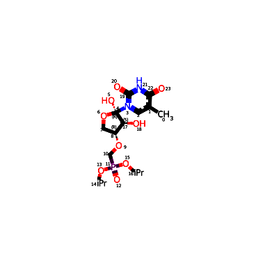 Cc1cn([C@]2(O)OC[C@@H](OCP(=O)(OC(C)C)OC(C)C)[C@@H]2O)c(=O)[nH]c1=O